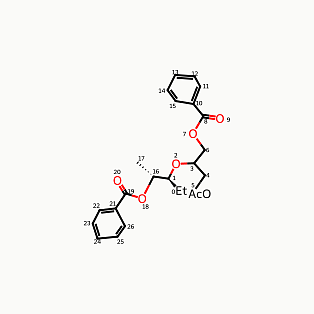 CC[C@H](OC(COC(C)=O)COC(=O)c1ccccc1)[C@@H](C)OC(=O)c1ccccc1